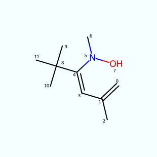 C=C(C)/C=C(\N(C)O)C(C)(C)C